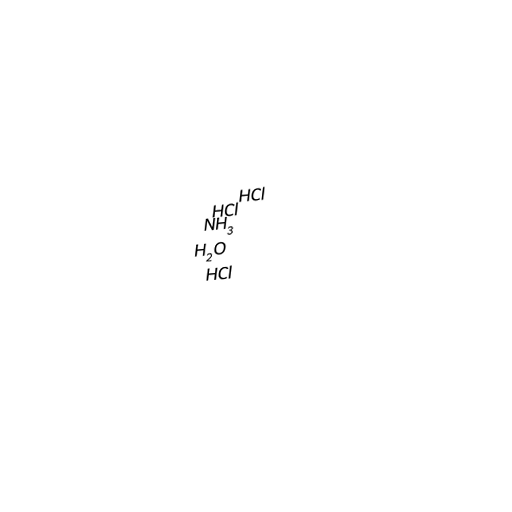 Cl.Cl.Cl.N.O